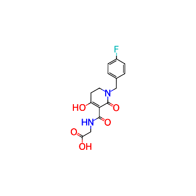 O=C(O)CNC(=O)C1=C(O)CCN(Cc2ccc(F)cc2)C1=O